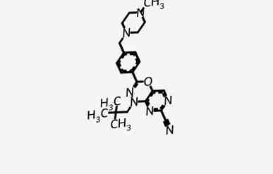 CN1CCN(Cc2ccc(C3=NN(CC(C)(C)C)c4nc(C#N)ncc4O3)cc2)CC1